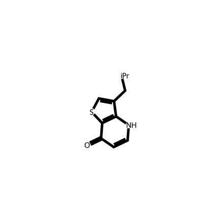 CC(C)Cc1csc2c(=O)cc[nH]c12